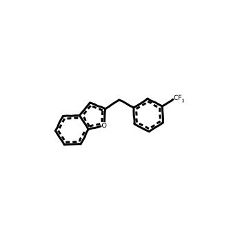 FC(F)(F)c1cccc(Cc2cc3ccccc3o2)c1